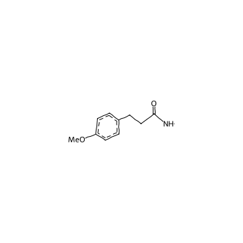 COc1ccc(CCC([NH])=O)cc1